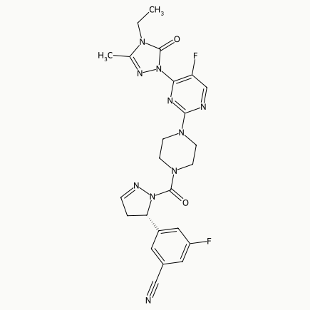 CCn1c(C)nn(-c2nc(N3CCN(C(=O)N4N=CC[C@H]4c4cc(F)cc(C#N)c4)CC3)ncc2F)c1=O